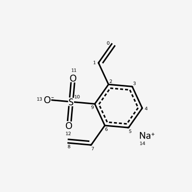 C=Cc1cccc(C=C)c1S(=O)(=O)[O-].[Na+]